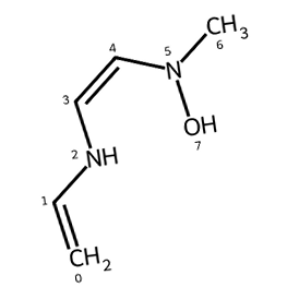 C=CN/C=C\N(C)O